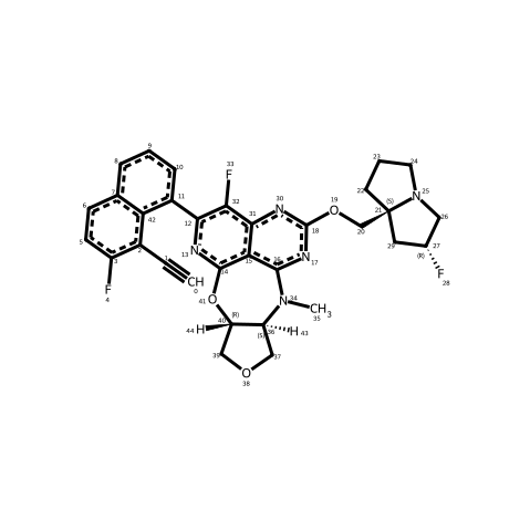 C#Cc1c(F)ccc2cccc(-c3nc4c5c(nc(OC[C@@]67CCCN6C[C@H](F)C7)nc5c3F)N(C)[C@H]3COC[C@@H]3O4)c12